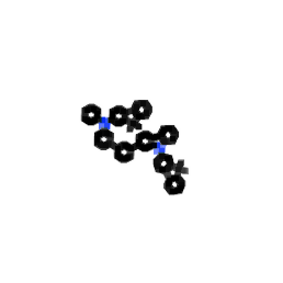 CC1(C)c2ccccc2-c2ccc(N(c3ccccc3)c3cccc(-c4cccc(-c5ccc6c7ccccc7n(-c7ccc8c(c7)C(C)(C)c7ccccc7-8)c6c5)c4)c3)cc21